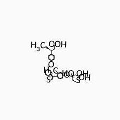 CC#CC(CC(=O)O)c1ccc(OCc2ccc3scc(-c4ccc(OCC5(O)CCSC(O)(O)C5)cc4C)c3c2)cc1